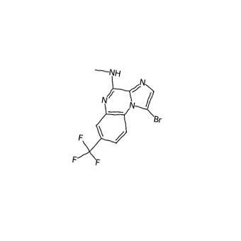 CNc1nc2cc(C(F)(F)F)ccc2n2c(Br)cnc12